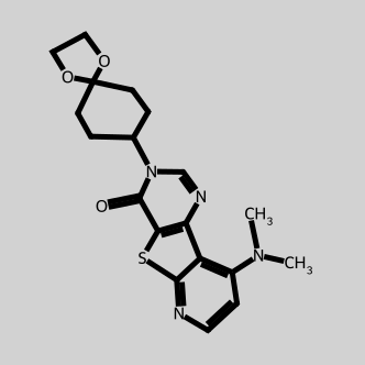 CN(C)c1ccnc2sc3c(=O)n(C4CCC5(CC4)OCCO5)cnc3c12